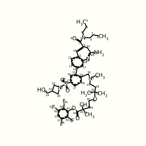 CCCN(CCC)C(=O)C1=Cc2ccc(-c3cc(S(=O)(=O)N4CC(CO)C4)ccc3CN(C)CCC(C)(C)OCCC(C)(C)C(=O)Oc3c(F)c(F)cc(F)c3F)cc2N=C(N)C1